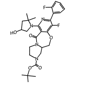 CC(C)(C)OC(=O)N1CCN2C(=O)c3c(N4CC(O)CC4(C)C)nc(-c4ccccc4F)c(F)c3OCC2C1